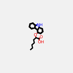 CCCCCC(Oc1cccc2[nH]c3ccccc3c12)C(=O)O